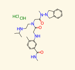 CNC(=O)c1ccc(C)c(NCC(=O)N(CCNC(C)C)CC(=O)N(C)N2Cc3ccccc3C2)c1.Cl.Cl